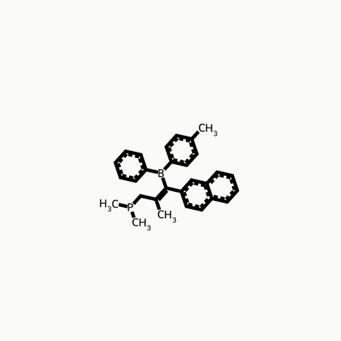 C/C(CP(C)C)=C(/B(c1ccccc1)c1ccc(C)cc1)c1ccc2ccccc2c1